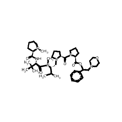 CC(C)[C@@H](CN1CCC[C@H]1C(=O)N1CCC[C@H]1C(=O)OC(CN1CCOCC1)c1ccccc1)N(C)C(=O)[C@@H](NC(=O)[C@H]1CCCCN1C)C(C)(C)C